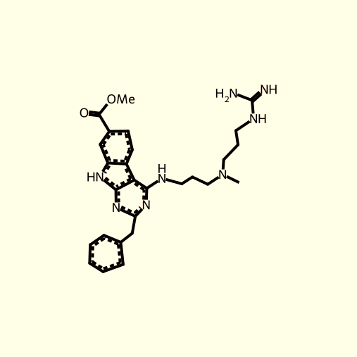 COC(=O)c1ccc2c(c1)[nH]c1nc(Cc3ccccc3)nc(NCCCN(C)CCCNC(=N)N)c12